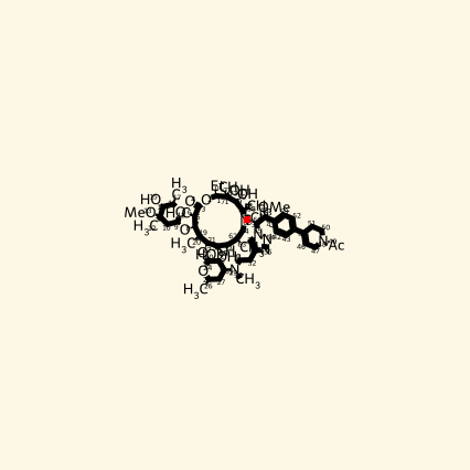 CC[C@H]1OC(=O)[C@H](C)[C@@H](O[C@H]2C[C@@](C)(OC)[C@@H](O)[C@H](C)O2)[C@H](C)[C@@H](OC2O[C@H](C)C[C@H](N(C)CCc3cn([C@H](CF)[C@H](OC)c4ccc(C5=CCN(C(C)=O)CC5)cc4)nn3)[C@H]2O)[C@](C)(O)C[C@@H](C)CN(C)[C@H](C)[C@@H](O)[C@]1(C)O